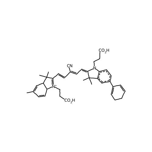 CC1=CC2C(C=C1)[N+](CCC(=O)O)=C(/C=C/C(C#N)=C/C=C1/N(CCC(=O)O)c3ccc(C4=CCCC=C4)cc3C1(C)C)C2(C)C